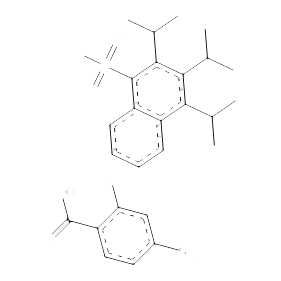 CC(C)c1c(C(C)C)c(S(=O)(=O)O)c2ccccc2c1C(C)C.Nc1ccc(C(=O)O)c(O)c1